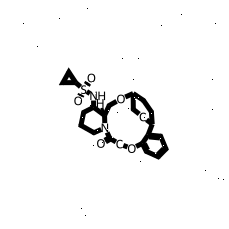 O=C1COc2ccccc2C2CCC(CC2)OC[C@H]2C(NS(=O)(=O)C3CC3)CCCN12